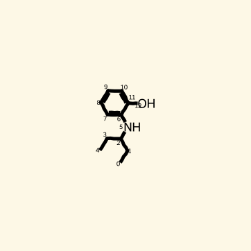 CCC(CC)Nc1ccccc1O